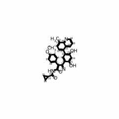 COc1ccc(-c2c(-c3cc(-c4ccc(C)c5ncccc45)c(O)cc3O)noc2NC(=O)C2CC2)cc1